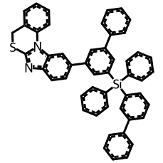 c1ccc(-c2cccc([Si](c3ccccc3)(c3ccccc3)c3cc(-c4ccccc4)cc(-c4ccc5nc6n(c5c4)-c4ccccc4CS6)c3)c2)cc1